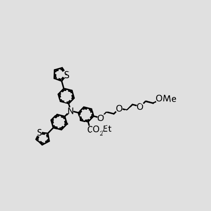 CCOC(=O)c1cc(N(c2ccc(-c3cccs3)cc2)c2ccc(-c3cccs3)cc2)ccc1OCCOCCOCCOC